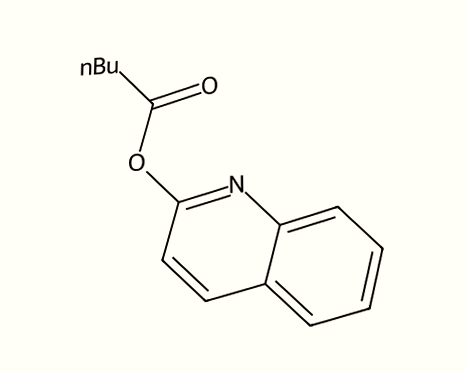 CCCCC(=O)Oc1ccc2ccccc2n1